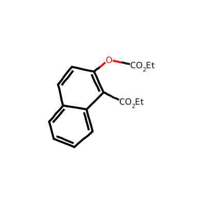 CCOC(=O)Oc1ccc2ccccc2c1C(=O)OCC